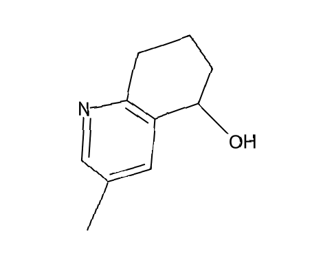 Cc1cnc2c(c1)C(O)CCC2